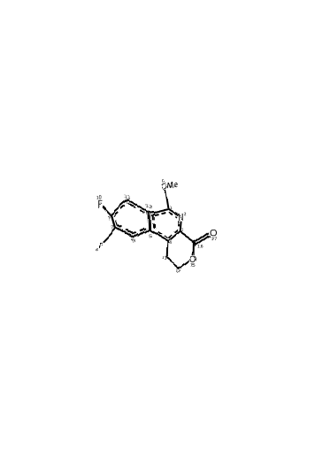 COc1nc2c(c3cc(F)c(F)cc13)[CH]COC2=O